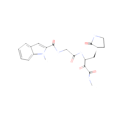 Cn1c(C(=O)NCC(=O)NC(C[C@@H]2CCNC2=O)C(=O)C(=O)NC(C)(C)C)cc2ccccc21